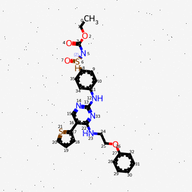 CCOC(=O)/N=[SH](=O)/c1ccc(Nc2ncc(-c3cccs3)c(NCCOc3ccccc3)n2)cc1